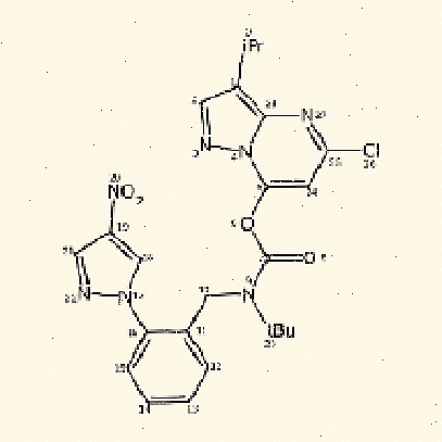 CC(C)c1cnn2c(OC(=O)N(Cc3ccccc3-n3cc([N+](=O)[O-])cn3)C(C)(C)C)cc(Cl)nc12